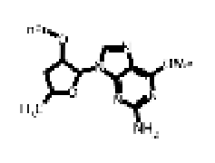 CCCOC1CC(C)OC1n1cnc2c(OC)nc(N)nc21